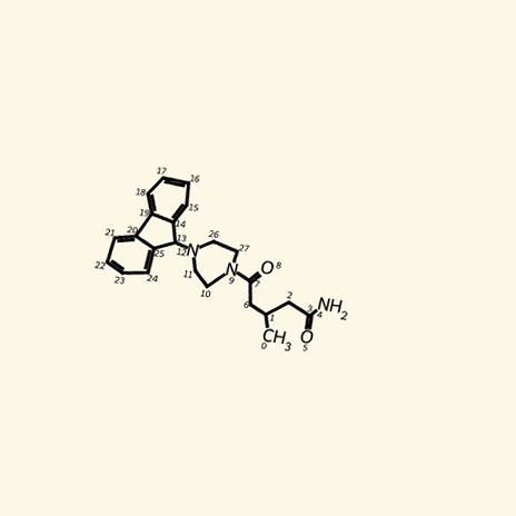 CC(CC(N)=O)CC(=O)N1CCN(C2c3ccccc3-c3ccccc32)CC1